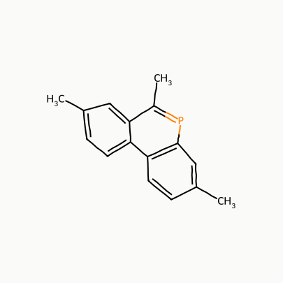 Cc1ccc2c(c1)pc(C)c1cc(C)ccc12